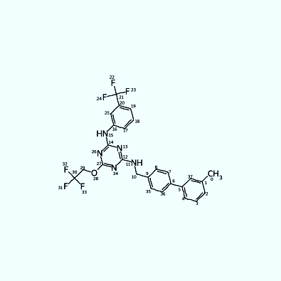 Cc1cccc(-c2ccc(CNc3nc(Nc4cccc(C(F)(F)F)c4)nc(OCC(F)(F)F)n3)cc2)c1